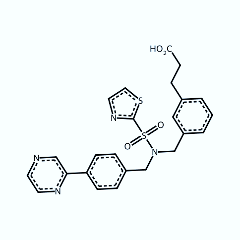 O=C(O)CCc1cccc(CN(Cc2ccc(-c3cnccn3)cc2)S(=O)(=O)c2nccs2)c1